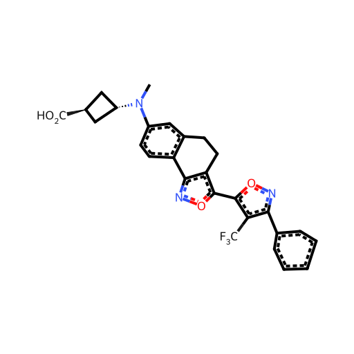 CN(c1ccc2c(c1)CCc1c-2noc1-c1onc(-c2ccccc2)c1C(F)(F)F)[C@H]1C[C@H](C(=O)O)C1